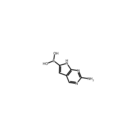 Nc1ncc2cc(B(O)O)[nH]c2n1